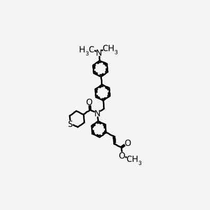 COC(=O)/C=C/c1cccc(N(Cc2ccc(-c3ccc(N(C)C)cc3)cc2)C(=O)C2CCSCC2)c1